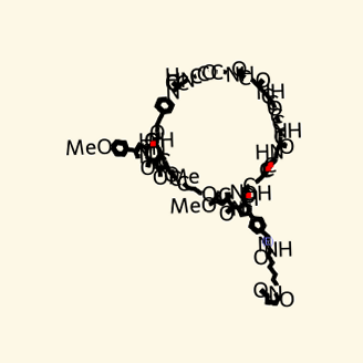 COc1ccc(C2=C[C@H]3C(O)N4C(=O)OCc5ccc(cc5)NC(=O)CNCCOCCNC(=O)CCC(=O)NCCOCCNCC(=O)Nc5ccc(cc5)CCC(=O)N5c6cc(c(OC)cc6C(=O)N6CC(c7ccc(/C=N/NC(=O)CCCCCN8C(=O)C=CC8=O)cc7)=C[C@H]6C5O)OCCCCCOc5cc4c(cc5OC)C(=O)N3C2)cc1